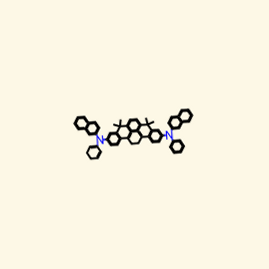 CC1(C)c2cc(N(C3=CCCC=C3)c3ccc4ccccc4c3)ccc2C2=c3c1ccc1c3=C(CC2)c2ccc(N(c3ccccc3)c3ccc4ccccc4c3)cc2C1(C)C